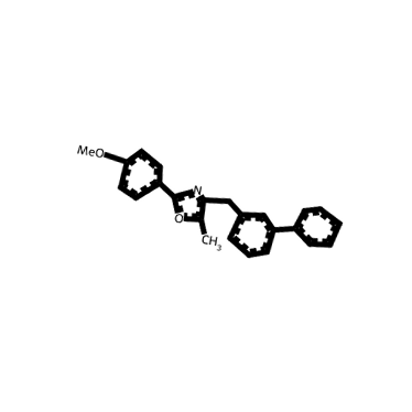 COc1ccc(-c2nc(Cc3cccc(-c4ccccc4)c3)c(C)o2)cc1